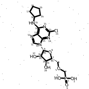 O=P(O)(O)COC[C@H]1O[C@@H](n2cnc3c(NC4CCCC4)nc(Cl)nc32)[C@H](O)[C@@H]1O